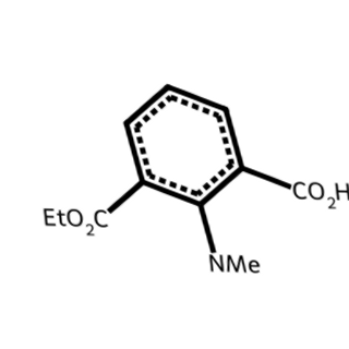 CCOC(=O)c1cccc(C(=O)O)c1NC